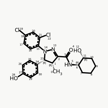 C[C@H]1C(C(=O)N[C@@H]2CCCC[C@H]2O)=NN(c2ccc(Cl)cc2Cl)[C@H]1c1ccc(O)cc1